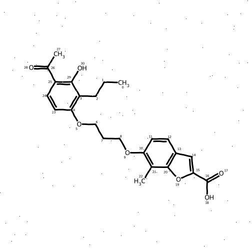 CCCc1c(OCCCOc2ccc3cc(C(=O)O)oc3c2C)ccc(C(C)=O)c1O